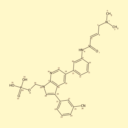 CN(C)C/C=C/C(=O)Nc1cccc(-c2cnc3c(c2)c(-c2cccc(C#N)c2)cn3COP(=O)(O)O)c1